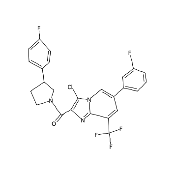 O=C(c1nc2c(C(F)(F)F)cc(-c3cccc(F)c3)cn2c1Cl)N1CCC(c2ccc(F)cc2)C1